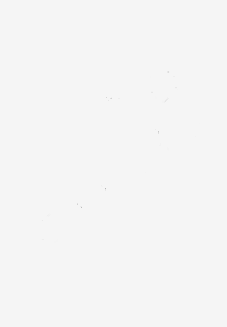 COC1CN(C(=O)[C@H]2CC[C@@H](N3CCN(c4ccc(F)c(C(=O)O)c4)[C@@H](C)C3)CO2)C(C2CC2)c2cc(C(F)(F)F)ccc21